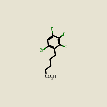 O=C(O)CCCCc1c(Br)cc(F)c(F)c1F